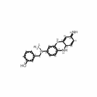 CN(Cc1cccc(O)c1)c1ccc2c(c1)SC1=CC(=N)C=CC1N2